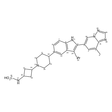 Cc1cc(-c2[nH]c3ccc(C4CCN(C5CC(NC(=O)O)C5)CC4)cc3c2C(C)C)cn2ncnc12